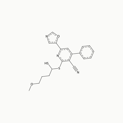 COCCCC(S)Sc1nc(-c2cnco2)cc(-c2ccccc2)c1C#N